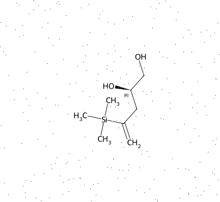 C=C(C[C@@H](O)CO)[Si](C)(C)C